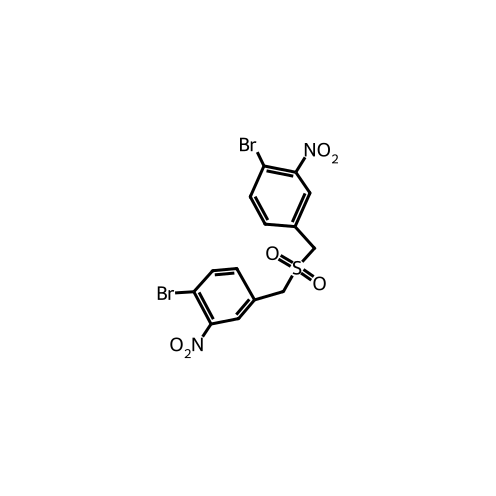 O=[N+]([O-])c1cc(CS(=O)(=O)Cc2ccc(Br)c([N+](=O)[O-])c2)ccc1Br